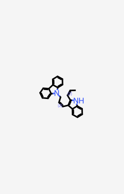 C/C=C\c1[nH]c2ccccc2c1/C=C\Cn1c2ccccc2c2ccccc21